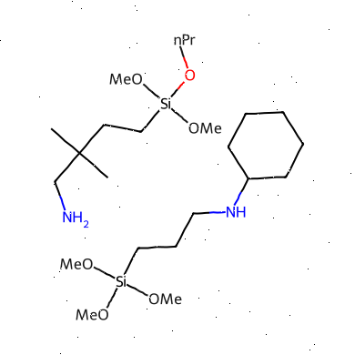 CCCO[Si](CCC(C)(C)CN)(OC)OC.CO[Si](CCCNC1CCCCC1)(OC)OC